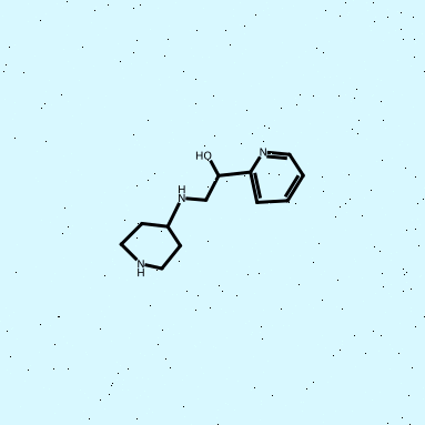 OC(CNC1CCNCC1)c1ccccn1